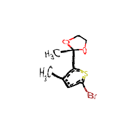 Cc1cc(Br)sc1C1(C)OCCO1